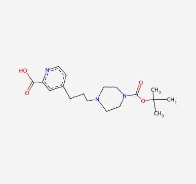 CC(C)(C)OC(=O)N1CCN(CCCc2ccnc(C(=O)O)c2)CC1